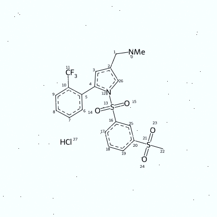 CNCc1cc(-c2ccccc2C(F)(F)F)n(S(=O)(=O)c2cccc(S(C)(=O)=O)c2)c1.Cl